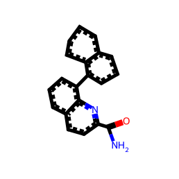 NC(=O)c1ccc2cccc(-c3cccc4ccccc34)c2n1